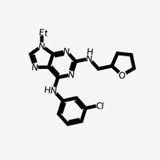 CCn1cnc2c(Nc3cccc(Cl)c3)nc(NCC3CCCO3)nc21